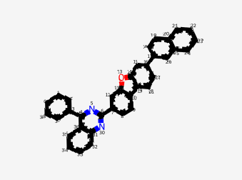 c1ccc(-c2nc(-c3ccc4c(c3)oc3cc(-c5ccc6ccccc6c5)ccc34)nc3ccccc23)cc1